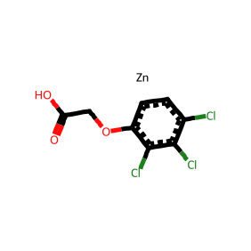 O=C(O)COc1ccc(Cl)c(Cl)c1Cl.[Zn]